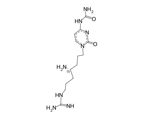 N=C(N)NCCC[C@H](N)CCCn1ccc(NC(N)=O)nc1=O